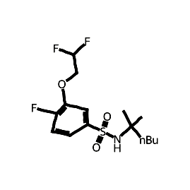 CCCCC(C)(C)NS(=O)(=O)c1ccc(F)c(OCC(F)F)c1